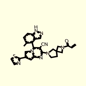 C=CC(=O)N1CC2(CCN(c3nc4cc(-c5nccs5)cn4c(-c4c(C)ccc5[nH]ncc45)c3C#N)C2)C1